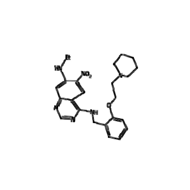 CCNc1cc2ncnc(NCc3ccccc3OCCN3CCCCC3)c2cc1[N+](=O)[O-]